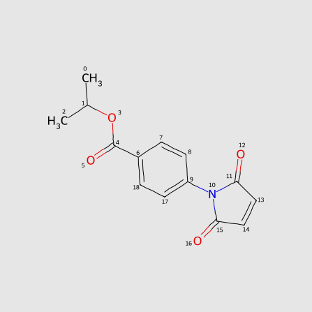 CC(C)OC(=O)c1ccc(N2C(=O)C=CC2=O)cc1